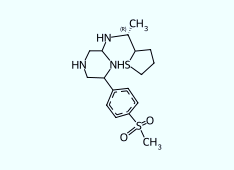 C[C@@H](NC1CNCC(c2ccc(S(C)(=O)=O)cc2)N1)C1CCCS1